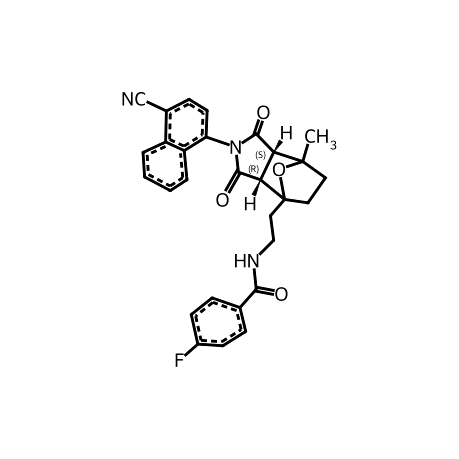 CC12CCC(CCNC(=O)c3ccc(F)cc3)(O1)[C@@H]1C(=O)N(c3ccc(C#N)c4ccccc34)C(=O)[C@@H]12